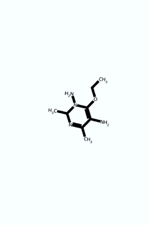 CCOC1=C(N)C(C)=NC(C)N1N